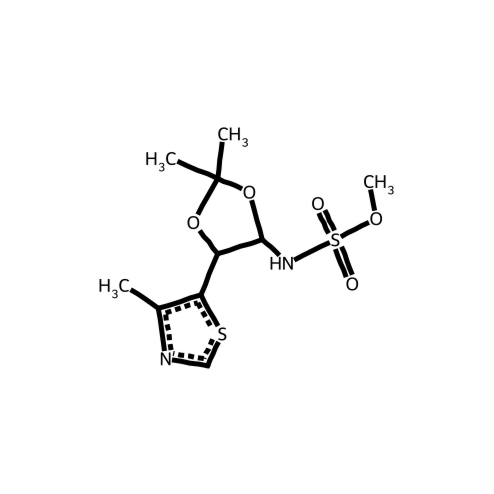 COS(=O)(=O)NC1OC(C)(C)OC1c1scnc1C